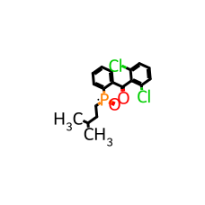 CC(C)CC[P](=O)c1ccccc1C(=O)c1c(Cl)cccc1Cl